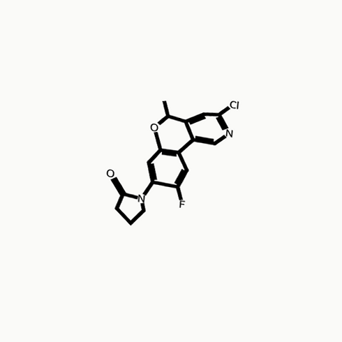 CC1Oc2cc(N3CCCC3=O)c(F)cc2-c2cnc(Cl)cc21